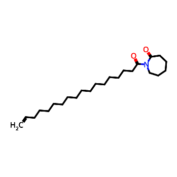 C=CCCCCCCCCCCCCCCCC(=O)N1CCCCCC1=O